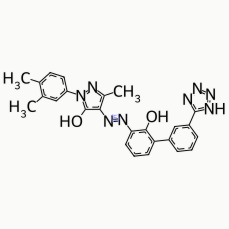 Cc1ccc(-n2nc(C)c(/N=N/c3cccc(-c4cccc(-c5nnn[nH]5)c4)c3O)c2O)cc1C